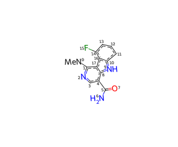 CNc1ncc(C(N)=O)c2[nH]c3cccc(F)c3c12